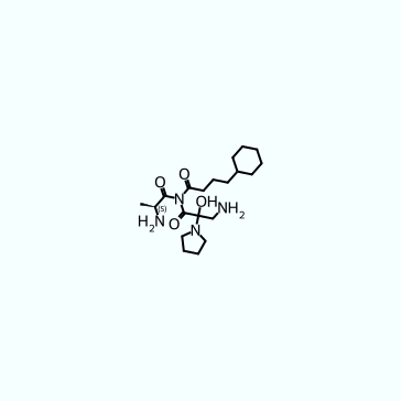 C[C@H](N)C(=O)N(C(=O)CCCC1CCCCC1)C(=O)C(O)(CN)N1CCCC1